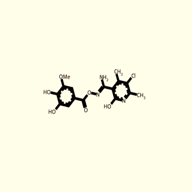 COc1cc(C(=O)O/N=C(\N)c2c(O)nc(C)c(Cl)c2C)cc(O)c1O